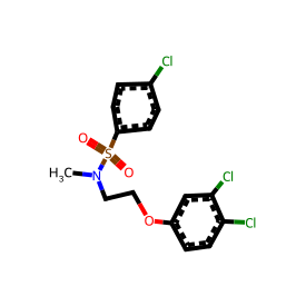 CN(CCOc1ccc(Cl)c(Cl)c1)S(=O)(=O)c1ccc(Cl)cc1